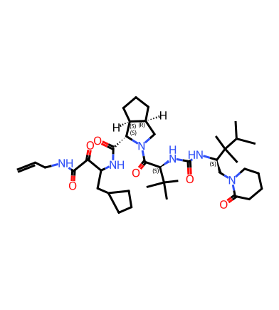 C=CCNC(=O)C(=O)C(CC1CCC1)NC(=O)[C@@H]1[C@H]2CCC[C@H]2CN1C(=O)[C@@H](NC(=O)N[C@H](CN1CCCCC1=O)C(C)(C)C(C)C)C(C)(C)C